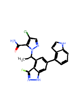 CC(c1cc(-c2cccc3[nH]ccc23)cc2[nH]nc(F)c12)n1ncc(Cl)c1C(N)=O